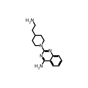 NCCC1CCN(c2nc(N)c3ccccc3n2)CC1